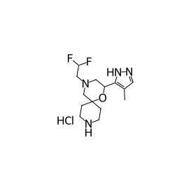 Cc1cn[nH]c1C1CN(CC(F)F)CC2(CCNCC2)O1.Cl